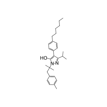 CCCCCCc1ccc(-c2c(C(C)C)nn(C(C)(C)Cc3ccc(C)cc3)c2O)cc1